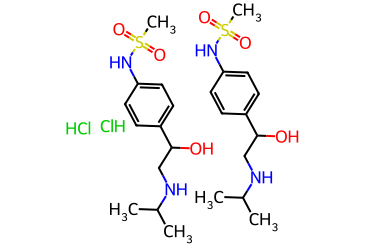 CC(C)NCC(O)c1ccc(NS(C)(=O)=O)cc1.CC(C)NCC(O)c1ccc(NS(C)(=O)=O)cc1.Cl.Cl